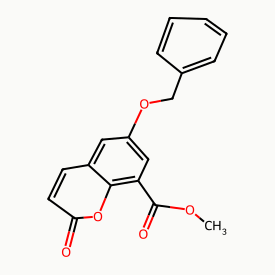 COC(=O)c1cc(OCc2ccccc2)cc2ccc(=O)oc12